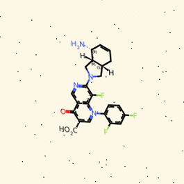 N[C@@H]1C=CC[C@@H]2CN(c3ncc4c(=O)c(C(=O)O)cn(-c5ccc(F)cc5F)c4c3F)C[C@@H]21